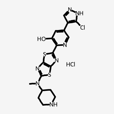 CN(c1nc2sc(-c3ncc(-c4cn[nH]c4Cl)cc3O)nc2s1)C1CCNCC1.Cl